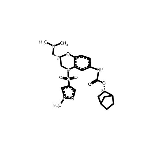 CN(C)C[C@H]1CN(S(=O)(=O)c2cnn(C)c2)c2cc(NC(=O)O[C@H]3CC4CCC3C4)ccc2O1